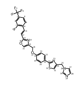 Fc1cc(C(F)(F)F)ccc1C=Cc1nc(COc2ccc(-c3nc(Cn4ccnc4)cs3)cc2)co1